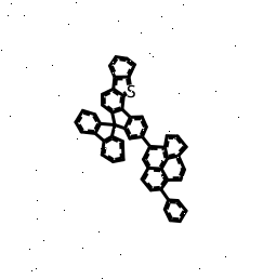 c1ccc(-c2ccc3cc(-c4ccc5c(c4)C4(c6ccccc6-c6ccccc64)c4ccc6c(sc7ccccc76)c4-5)c4cccc5ccc2c3c54)cc1